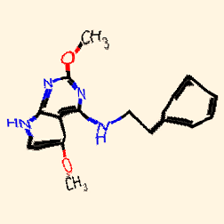 COc1nc(NCCc2ccccc2)c2c(OC)c[nH]c2n1